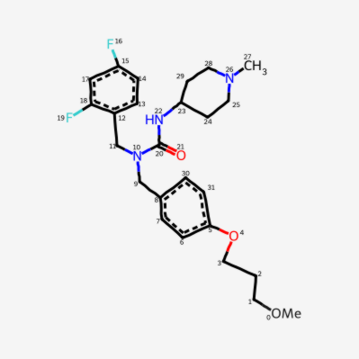 COCCCOc1ccc(CN(Cc2ccc(F)cc2F)C(=O)NC2CCN(C)CC2)cc1